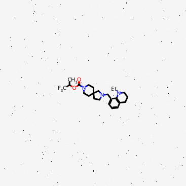 CCN1CCCc2cccc(CN3CCC4(CCN(C(=O)OC(C)C(F)(F)F)CC4)C3)c21